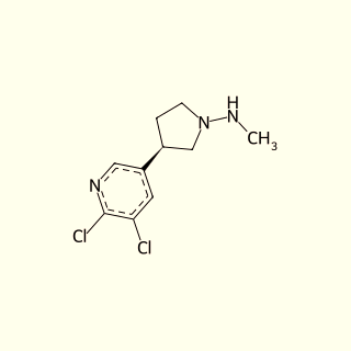 CNN1CC[C@H](c2cnc(Cl)c(Cl)c2)C1